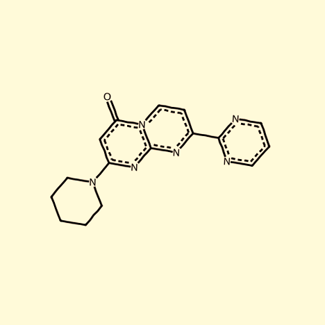 O=c1cc(N2CCCCC2)nc2nc(-c3ncccn3)ccn12